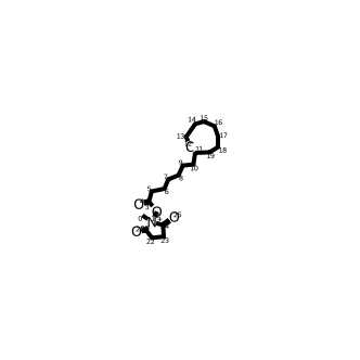 C[N+]1(OC(=O)CCCCCCC2CCCCCCCC2)C(=O)CCC1=O